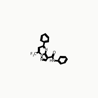 O=C(Nc1ccccc1)c1cnn2c(C(F)(F)F)cc(-c3ccccc3)nc12